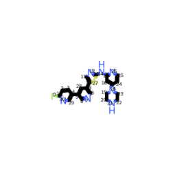 Fc1ccc(-c2cncc(-c3cnc(Nc4cc(N5CCNCC5)ccn4)s3)c2)cn1